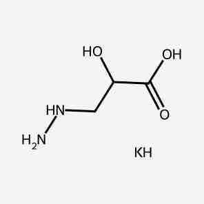 NNCC(O)C(=O)O.[KH]